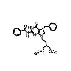 CC(=O)OCC(CC[n+]1cn(Cc2ccccc2)c2c(=O)[nH]c(NC(=O)c3ccccc3)nc21)COC(C)=O.[Br-]